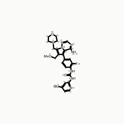 COCc1c(-c2ccc(NC(=O)Nc3cc(C(C)(C)C)ccn3)c(F)c2)c2c(N)ncnn2c1CN1CCOCC1